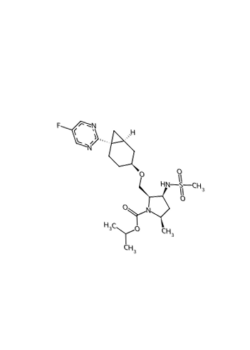 CC(C)OC(=O)N1[C@H](C)C[C@H](NS(C)(=O)=O)[C@@H]1CO[C@H]1CC[C@@]2(c3ncc(F)cn3)C[C@H]2C1